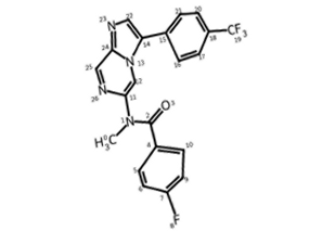 CN(C(=O)c1ccc(F)cc1)c1cn2c(-c3ccc(C(F)(F)F)cc3)cnc2cn1